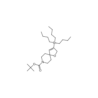 CCC[CH2][Sn]([CH2]CCC)([CH2]CCC)[C]1=CC2(CCN(C(=O)OC(C)(C)C)CC2)OC1